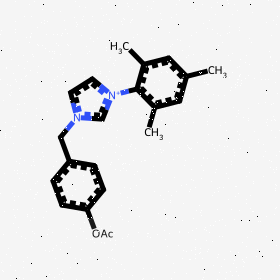 CC(=O)Oc1ccc(Cn2cc[n+](-c3c(C)cc(C)cc3C)c2)cc1